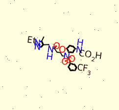 CCn1ncc(CNC(=O)CC2CN(S(=O)(=O)c3cccc(C(F)(F)F)c3)c3cc(NC(=O)O)ccc3O2)c1C